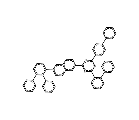 c1ccc(-c2ccc(-c3nc(-c4ccc5cc(-c6cccc(-c7ccccc7)c6-c6ccccc6)ccc5c4)nc(-c4ccccc4-c4ccccc4)n3)cc2)cc1